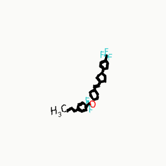 CCCCc1ccc(C(F)(F)OC2CCC(/C=C/C3CCC(c4ccc(C(F)(F)F)cc4)CC3)CC2)cc1